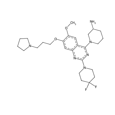 COc1cc2c(N3CCCC(N)C3)nc(N3CCC(F)(F)CC3)nc2cc1OCCCN1CCCC1